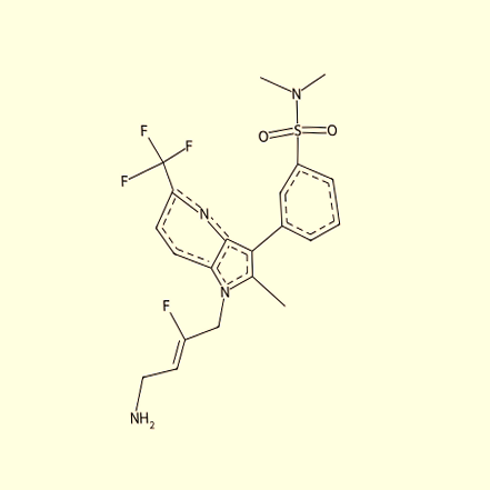 Cc1c(-c2cccc(S(=O)(=O)N(C)C)c2)c2nc(C(F)(F)F)ccc2n1C/C(F)=C/CN